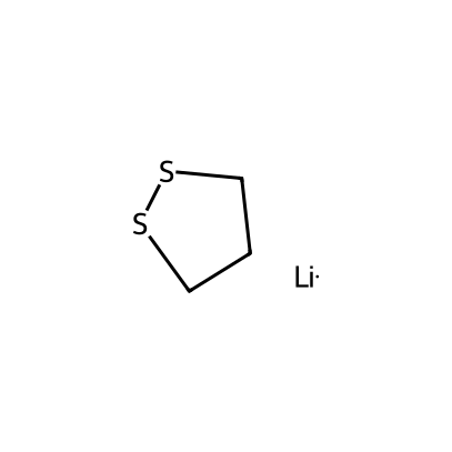 C1CSSC1.[Li]